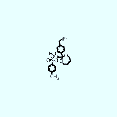 Cc1ccc(S(=O)(=O)OC(C)C2(c3ccc(CC(C)C)cc3)OCC=CCO2)cc1